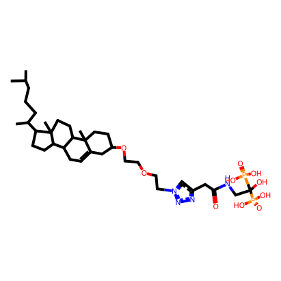 CC(C)CCCC(C)C1CCC2C3CC=C4CC(OCCOCCn5cc(CC(=O)NCC(O)(P(=O)(O)O)P(=O)(O)O)nn5)CCC4(C)C3CCC12C